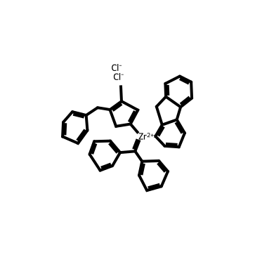 CC1=C(Cc2ccccc2)C[C]([Zr+2](=[C](c2ccccc2)c2ccccc2)[c]2cccc3c2Cc2ccccc2-3)=C1.[Cl-].[Cl-]